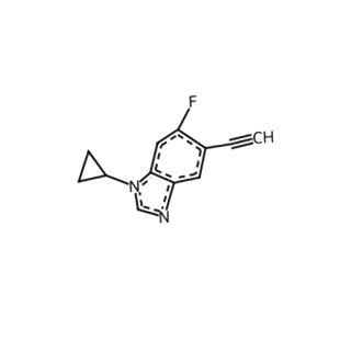 C#Cc1cc2ncn(C3CC3)c2cc1F